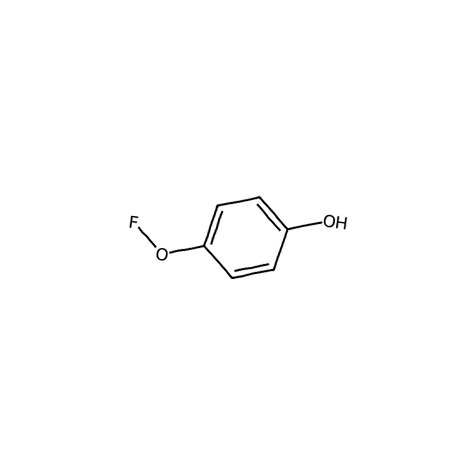 Oc1ccc(OF)cc1